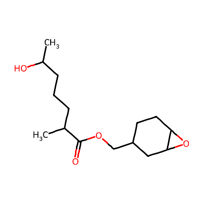 CC(O)CCCC(C)C(=O)OCC1CCC2OC2C1